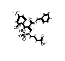 Cc1ccc(C2NS(=O)(=O)N(CCCC(=O)O)C=C2C(=O)OCc2ccccc2)c(Cl)c1